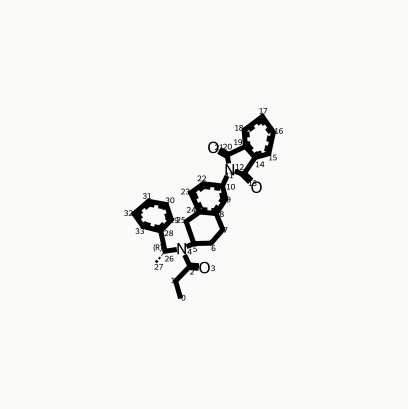 CCC(=O)N(C1CCc2cc(N3C(=O)c4ccccc4C3=O)ccc2C1)[C@H](C)c1ccccc1